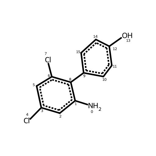 Nc1cc(Cl)cc(Cl)c1-c1ccc(O)cc1